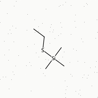 CCS[Si](C)(C)C